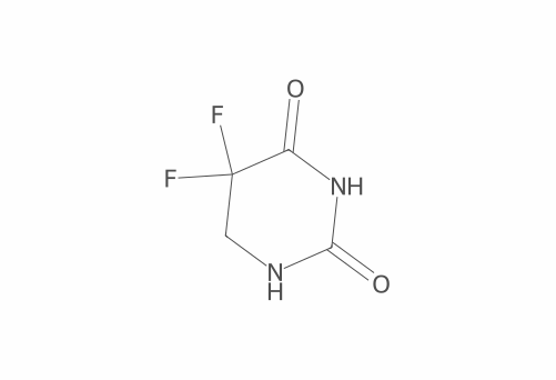 O=C1NCC(F)(F)C(=O)N1